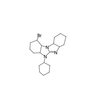 BrC1CCCC2C1N1C(=NC3CCCCC31)N2C1CCCCC1